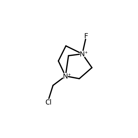 F[N+]12CC[N+](CCl)(CC1)C2